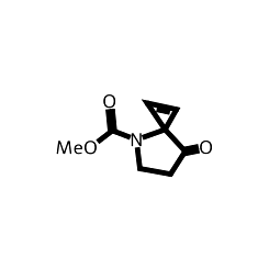 COC(=O)N1CCC(=O)C12C=C2